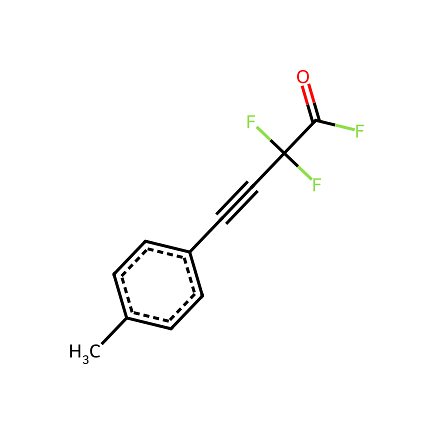 Cc1ccc(C#CC(F)(F)C(=O)F)cc1